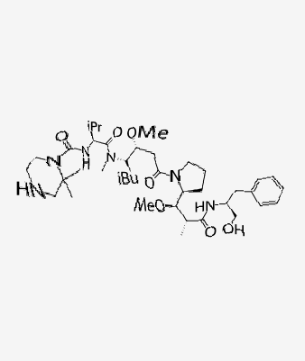 CC[C@H](C)[C@@H]([C@@H](CC(=O)N1CCC[C@H]1[C@H](OC)[C@@H](C)C(=O)N[C@H](CO)Cc1ccccc1)OC)N(C)C(=O)[C@@H](NC(=O)N1CCNCC1(C)C)C(C)C